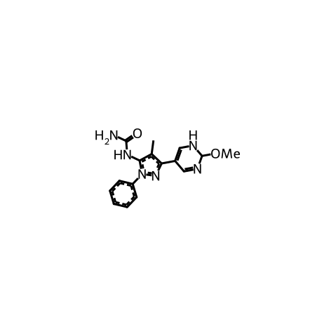 COC1N=CC(c2nn(-c3ccccc3)c(NC(N)=O)c2C)=CN1